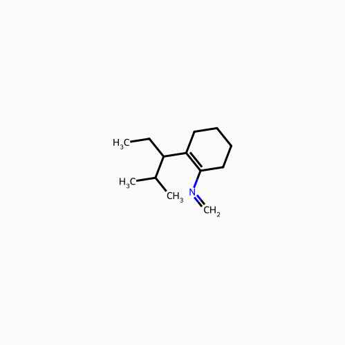 C=NC1=C(C(CC)C(C)C)CCCC1